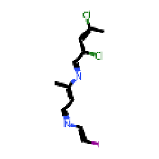 C/C(Cl)=C\C(Cl)/C=N/C(C)=C/C=N\C=C\I